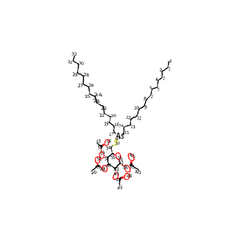 CCCCCCCCCCCCCCCC[As](CCCCCCCCCCCCCCCC)SC[C@H]1O[C@@H](OC(C)=O)[C@H](OC(C)=O)[C@@H](OC(C)=O)[C@@H]1OC(C)=O